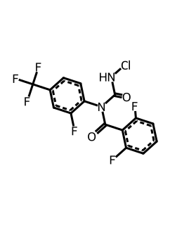 O=C(NCl)N(C(=O)c1c(F)cccc1F)c1ccc(C(F)(F)F)cc1F